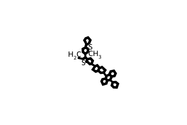 C=Cc1sc2cc(-c3ccc4cc(-c5c6ccccc6c(-c6ccccc6)c6ccccc56)ccc4c3)ccc2c1-c1ccc2c(sc3ccccc32)c1C